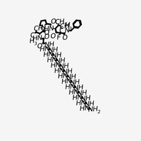 CC(C)[C@H](NC(=O)C(=O)NNNNNNNNNNNNNNNNNNNNNNNNN)C(=O)N1CCCC1C(=O)N[C@H](C(=O)C(F)(F)C(=O)NCc1ccccc1)C(C)C